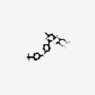 Cc1cc(OC(CO)C(N)=O)nc(-c2ccc(Oc3ccc(C(F)(F)F)cc3)cc2)n1